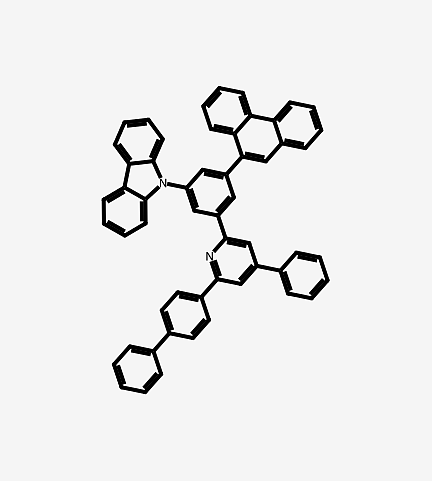 c1ccc(-c2ccc(-c3cc(-c4ccccc4)cc(-c4cc(-c5cc6ccccc6c6ccccc56)cc(-n5c6ccccc6c6ccccc65)c4)n3)cc2)cc1